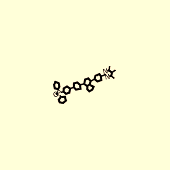 Cc1nc(-c2ccc(-c3ccc(-c4ccc(-c5ccc(P(=O)(c6ccccc6)c6ccccc6)cc5)cc4)c4ccccc34)cc2)nc(C)c1C